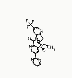 CCS(=O)(=O)c1cc(-c2ncccn2)cnc1C(=O)N1CCc2ncc(C(F)(F)F)cc21